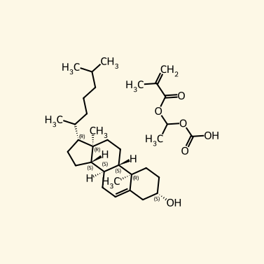 C=C(C)C(=O)OC(C)OC(=O)O.CC(C)CCCC(C)[C@H]1CC[C@H]2[C@@H]3CC=C4C[C@@H](O)CC[C@]4(C)[C@H]3CC[C@]12C